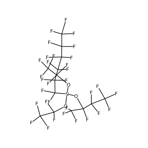 FC(F)(F)C(F)(F)O[Si](OC(F)(F)C(F)(F)F)(OC(F)(C(F)(F)F)C(F)(F)C(F)(F)F)C(F)(F)C(F)(F)C(F)(F)C(F)(F)C(F)(F)C(F)(F)F